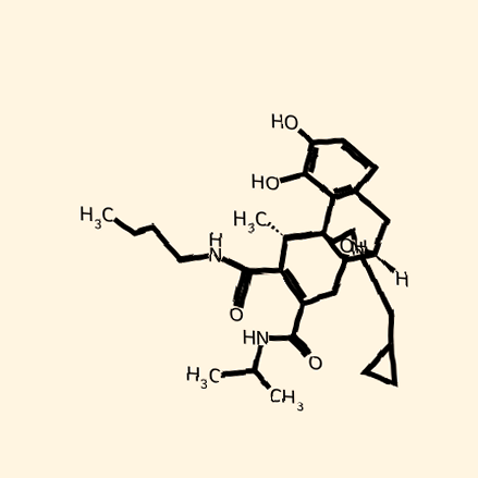 CCCCNC(=O)C1=C(C(=O)NC(C)C)C[C@@]2(O)[C@H]3Cc4ccc(O)c(O)c4[C@@]2(CCN3CC2CC2)[C@H]1C